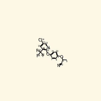 CC(C#N)Oc1ccc(Oc2ncc(Cl)cc2C(F)(F)F)cc1